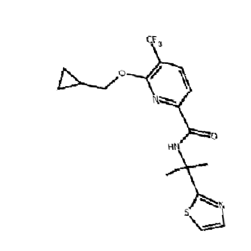 CC(C)(NC(=O)c1ccc(C(F)(F)F)c(OCC2CC2)n1)c1nccs1